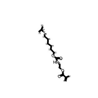 C=C(C)C(=O)OCCNC(=O)OCCCCCCSC(C)C